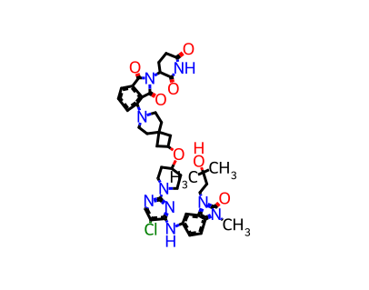 Cn1c(=O)n(CCC(C)(C)O)c2cc(Nc3nc(N4CCC(OC5CC6(CCN(c7cccc8c7C(=O)N(C7CCC(=O)NC7=O)C8=O)CC6)C5)CC4)ncc3Cl)ccc21